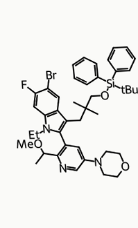 CCn1c(-c2cc(N3CCOCC3)cnc2C(C)OC)c(CC(C)(C)CO[Si](c2ccccc2)(c2ccccc2)C(C)(C)C)c2cc(Br)c(F)cc21